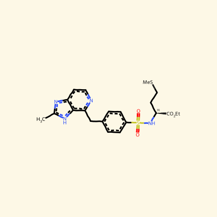 CCOC(=O)[C@H](CCSC)NS(=O)(=O)c1ccc(Cc2nccc3nc(C)[nH]c23)cc1